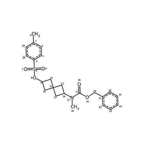 Cc1ccc(S(=O)(=O)OC2CC3(C2)CC(N(C)C(=O)OCc2ccccc2)C3)cc1